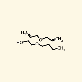 C=CCOCC=C.CCCCOCCO